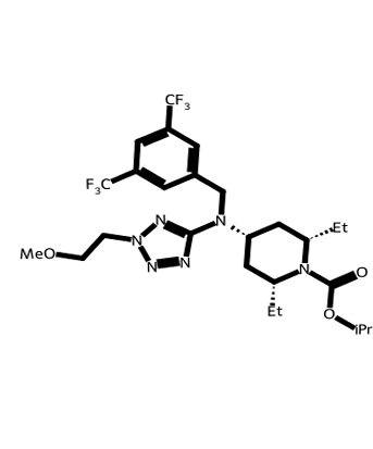 CC[C@@H]1C[C@H](N(Cc2cc(C(F)(F)F)cc(C(F)(F)F)c2)c2nnn(CCOC)n2)C[C@H](CC)N1C(=O)OC(C)C